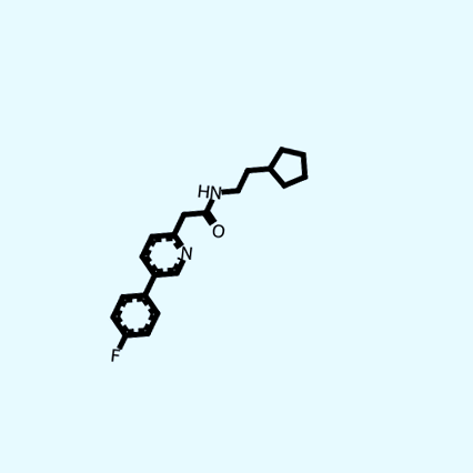 O=C(Cc1ccc(-c2ccc(F)cc2)cn1)NCCC1CCCC1